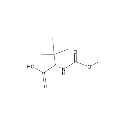 C=C(O)[C@@H](NC(=O)OC)C(C)(C)C